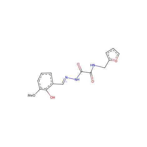 COc1cccc(/C=N/NC(=O)C(=O)NCc2ccco2)c1O